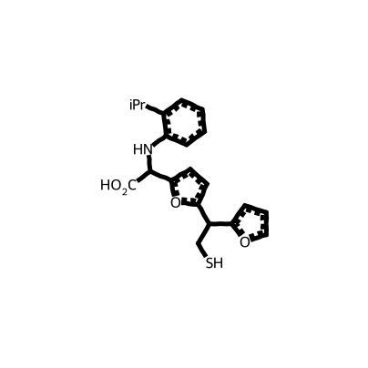 CC(C)c1ccccc1NC(C(=O)O)c1ccc(C(CS)c2ccco2)o1